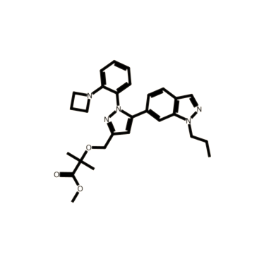 CCCn1ncc2ccc(-c3cc(COC(C)(C)C(=O)OC)nn3-c3ccccc3N3CCC3)cc21